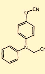 N#CCN(c1ccccc1)c1ccc(OC#N)cc1